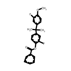 COc1ccc(C(C)(C)c2ccc(OC(=O)c3ccccc3)c(F)c2)cc1F